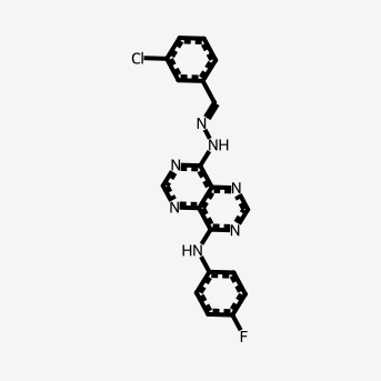 Fc1ccc(Nc2ncnc3c(N/N=C/c4cccc(Cl)c4)ncnc23)cc1